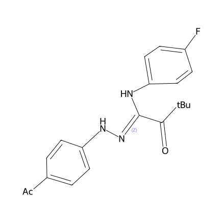 CC(=O)c1ccc(N/N=C(\Nc2ccc(F)cc2)C(=O)C(C)(C)C)cc1